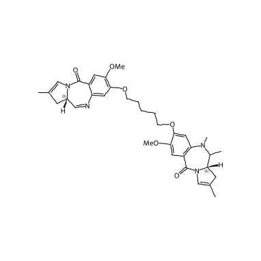 COc1cc2c(cc1OCCCCCOc1cc3c(cc1OC)C(=O)N1C=C(C)C[C@H]1C(C)N3C)N=C[C@@H]1CC(C)=CN1C2=O